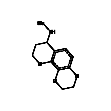 CC(C)(C)NC1CCOc2c1ccc1c2OCCO1